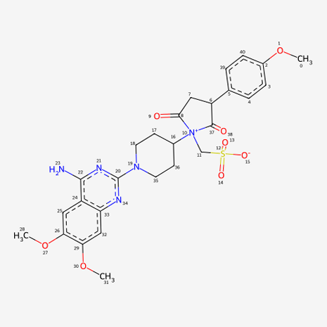 COc1ccc(C2CC(=O)[N+](CS(=O)(=O)[O-])(C3CCN(c4nc(N)c5cc(OC)c(OC)cc5n4)CC3)C2=O)cc1